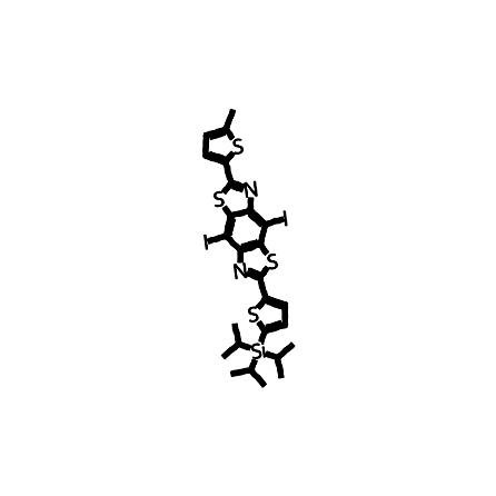 Cc1ccc(-c2nc3c(I)c4sc(-c5ccc([Si](C(C)C)(C(C)C)C(C)C)s5)nc4c(I)c3s2)s1